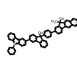 CC1(C)c2cc(-c3ccc(C4(C)c5ccccc5-c5cc(-c6ccc7c(c6)c6ccccc6n7-c6ccccc6)ccc54)cc3)ccc2-c2cc3ccccc3cc21